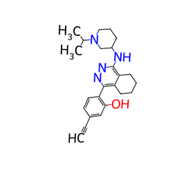 C#Cc1ccc(-c2nnc(NC3CCCN(C(C)C)C3)c3c2CCCC3)c(O)c1